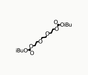 CC(C)COC(=O)OCCOCCOCCOC(=O)OCC(C)C